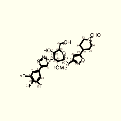 CO[C@@H]1[C@@H](n2cc(-c3cc(F)c(F)c(F)c3)nn2)[C@@H](O)[C@@H](CO)O[C@@H]1Cc1cc(C2CCN(C=O)CC2)on1